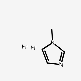 Cn1ccnc1.[H+].[H+]